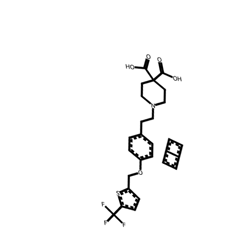 O=C(O)C1(C(=O)O)CCN(CCc2ccc(OCc3ccc(C(F)(F)F)s3)cc2)CC1.c1cc2ccc1-2